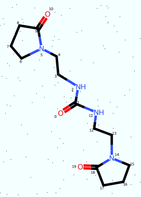 O=C(NCCN1CCCC1=O)NCCN1CCCC1=O